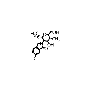 CO[C@@H]1OC(CO)[C@@H](C)C(O)C1N1Cc2ccc(Cl)cc2C1=O